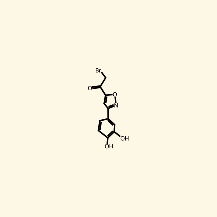 O=C(CBr)c1cc(-c2ccc(O)c(O)c2)no1